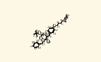 CC(C)(C)OC(=O)NC(Cc1ccc(OCCCCN=[N+]=[N-])cc1)C(=O)OCc1ccccc1